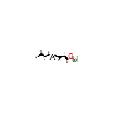 CCC[CH2][Al][CH2]CCCOCl